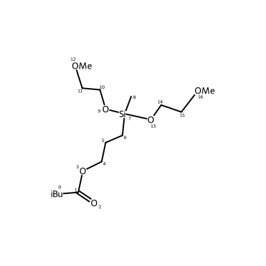 CCC(C)C(=O)OCCC[Si](C)(OCCOC)OCCOC